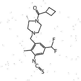 Cc1c(CN2CCN(C(=O)C3CCC3)[C@@H](C)C2)cc(C(F)F)cc1N=C=S